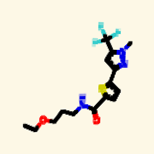 CCOCCCNC(=O)c1ccc(-c2cc(C(F)(F)F)n(C)n2)s1